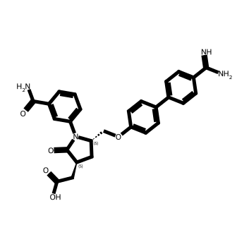 N=C(N)c1ccc(-c2ccc(OC[C@@H]3C[C@@H](CC(=O)O)C(=O)N3c3cccc(C(N)=O)c3)cc2)cc1